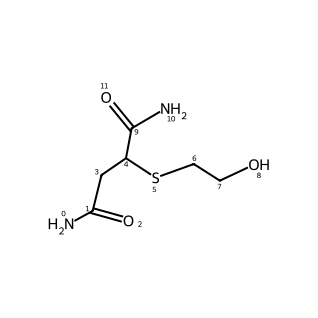 NC(=O)CC(SCCO)C(N)=O